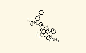 CC1(C)Cc2cnc(N)nc2-c2c1c(C(=O)Nc1nc(CN(C(=O)C(F)(F)F)C3CCN(C4CCCCC4)CC3)cs1)nn2C1CCCCO1